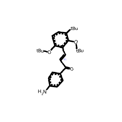 CC(C)(C)Oc1ccc(C(C)(C)C)c(OC(C)(C)C)c1/C=C/C(=O)c1ccc(N)cc1